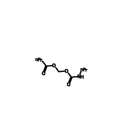 [CH2]CCNC(=O)OCOC(=O)CCC